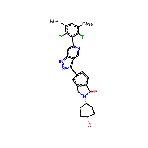 COc1cc(OC)c(F)c(-c2cc3[nH]nc(-c4ccc5c(c4)CN([C@H]4CC[C@@H](O)CC4)C5=O)c3cn2)c1F